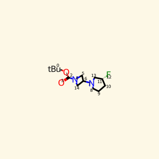 CC(C)(C)OC(=O)N1CC(N2CCC[C@@H](F)C2)C1